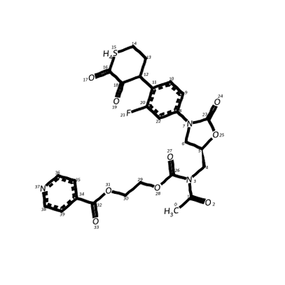 CC(=O)N(C[C@H]1CN(c2ccc(C3CC[SH4]C(=O)C3=O)c(F)c2)C(=O)O1)C(=O)OCCOC(=O)c1ccncc1